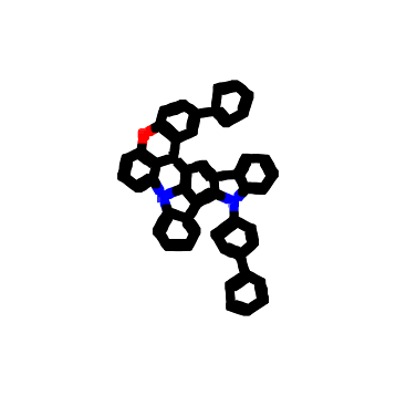 c1ccc(-c2ccc(-n3c4ccccc4c4cc5c6c(c7ccccc7n6-c6cccc7c6B5c5cc(-c6ccccc6)ccc5O7)c43)cc2)cc1